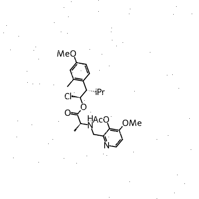 COc1ccc([C@H](C(C)C)[C@H](Cl)OC(=O)[C@H](C)NCc2nccc(OC)c2OC(C)=O)c(C)c1